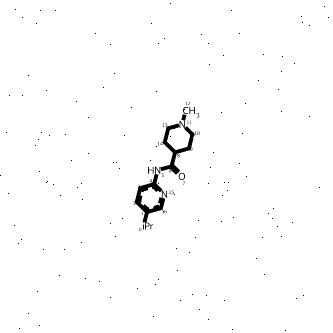 CC(C)c1ccc(NC(=O)C2CCN(C)CC2)nc1